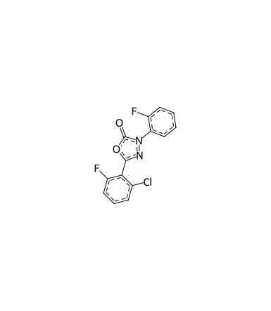 O=c1oc(-c2c(F)cccc2Cl)nn1-c1ccccc1F